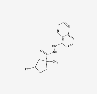 CC(C)C1CCC(C)(C(=O)NNc2cccc3ncccc23)C1